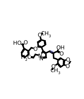 C=CCn1ncc(/C=C(\Cc2cc3c(cc2OC)OCO3)C(=O)O)c1-c1ccc(OC)cc1OCc1ccccc1C(=O)O